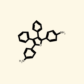 Nc1ccc(-c2oc(-c3ccc(N)cc3)c(-c3ccccc3)c2-c2ccccc2)cc1